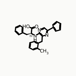 Cc1ccccc1Cc1nc(-c2ccccc2)cnc1N[C@@H](Cc1ccccc1)C(=O)O